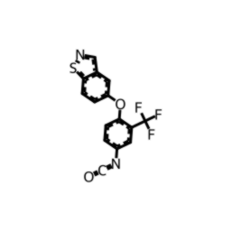 O=C=Nc1ccc(Oc2ccc3sncc3c2)c(C(F)(F)F)c1